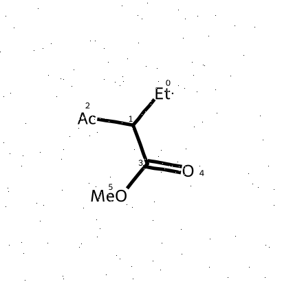 C[CH]C(C(C)=O)C(=O)OC